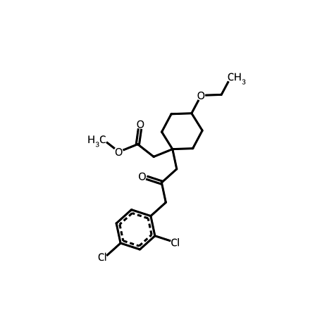 CCOC1CCC(CC(=O)Cc2ccc(Cl)cc2Cl)(CC(=O)OC)CC1